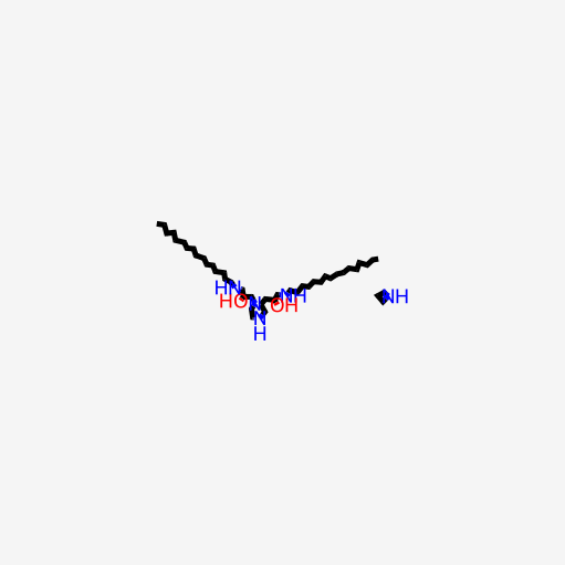 C1CNC1.CCCCCCCCCCCCCCCCNCC(O)CC1CNCCN1CC(O)CNCCCCCCCCCCCCCCCC